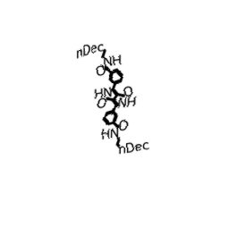 CCCCCCCCCCCCNC(=O)c1cccc(C2=C3C(=O)NC(c4cccc(C(=O)NCCCCCCCCCCCC)c4)=C3C(=O)N2)c1